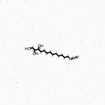 [N-]=[N+]=NCCCCCCCCCCC(O)C(O)CO